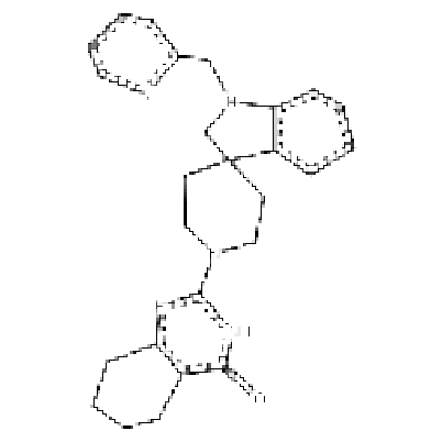 O=c1[nH]c(N2CCC3(CC2)CN(Cc2ccccn2)c2ccccc23)nc2c1CCCC2